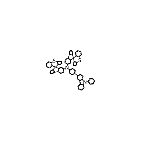 c1ccc(-n2c3ccccc3c3cc(-c4ccc(N(c5ccc6c(c5)C5(c7ccccc7Sc7ccccc75)c5ccccc5-6)c5ccc6c(c5)C5(c7ccccc7Sc7ccccc75)c5ccccc5-6)cc4)ccc32)cc1